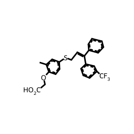 Cc1cc(SCC=C(c2ccccc2)c2cccc(C(F)(F)F)c2)ccc1OCC(=O)O